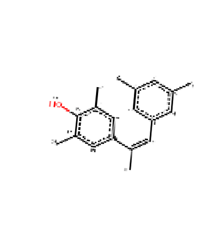 CC(=Cc1cc(C)cc(C)c1)c1cc(C)c(O)c(C)c1